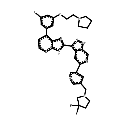 Fc1cc(OCCN2CCCC2)cc(-c2ccnc3[nH]c(-c4n[nH]c5cnc(-c6cncc(CN7CCC(F)(F)C7)c6)cc45)nc23)c1